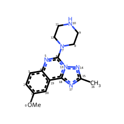 COc1ccc2nc(N3CCNCC3)n3nc(C)nc3c2c1